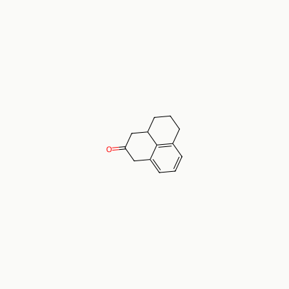 O=C1Cc2cccc3c2C(CCC3)C1